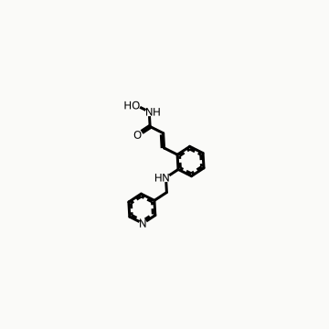 O=C(/C=C/c1ccccc1NCc1cccnc1)NO